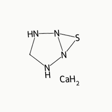 C1Nn2sn2N1.[CaH2]